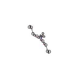 C=CC(=O)OCCCCCCOc1ccc(COc2ccc(-c3ccc(OCc4ccc(OCCCCCCOC(=O)C=C)cc4)cc3/C=N/N=C3c4ccccc4-c4ccccc43)cc2)cc1